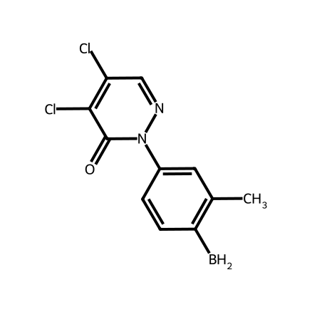 Bc1ccc(-n2ncc(Cl)c(Cl)c2=O)cc1C